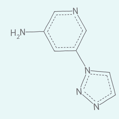 Nc1cncc(-n2ccnn2)c1